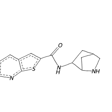 O=C(NC1CC2CNC1C2)c1cc2cccnc2s1